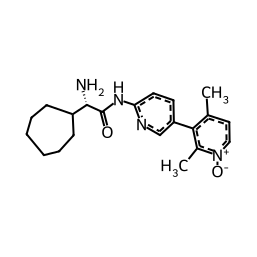 Cc1cc[n+]([O-])c(C)c1-c1ccc(NC(=O)[C@@H](N)C2CCCCCC2)nc1